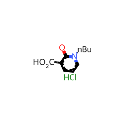 CCCCn1cccc(C(=O)O)c1=O.Cl